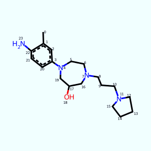 Cc1cc(N2CCN(CCCN3CCCC3)CC(O)C2)ccc1N